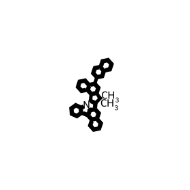 CC1(C)c2cc(-c3ccc4ccccc4c3)c3ccccc3c2-c2c1c1cc3ccccc3c3c4ccccc4n2c13